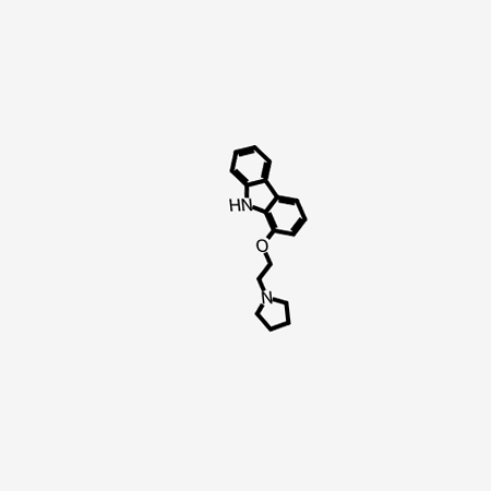 c1ccc2c(c1)[nH]c1c(OCCN3CCCC3)cccc12